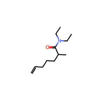 C=CCCCC(C)C(=O)N(CC)CC